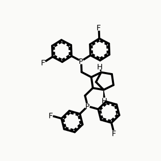 Fc1cccc(P(CC2C(CP(c3cccc(F)c3)c3cccc(F)c3)[C@H]3CC[C@H]2C3)c2cccc(F)c2)c1